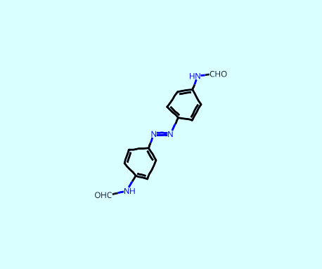 O=CNc1ccc(/N=N/c2ccc(NC=O)cc2)cc1